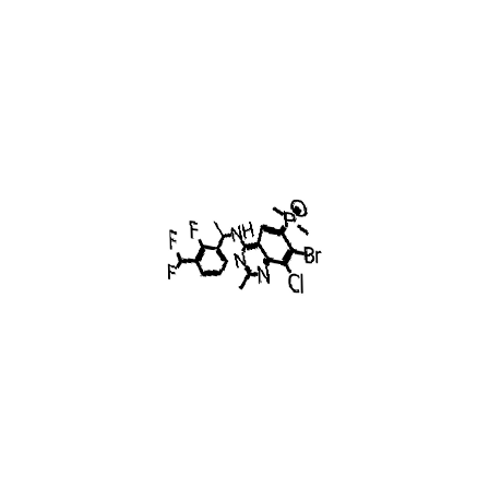 Cc1nc(N[C@H](C)c2cccc(C(F)F)c2F)c2cc(P(C)(C)=O)c(Br)c(Cl)c2n1